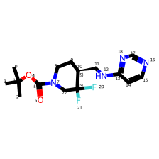 CC(C)(C)OC(=O)N1CC[C@@H](CNc2ccncn2)C(F)(F)C1